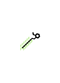 C=Cc1ccccc1CCC(F)(F)C(F)(F)C(F)(F)C(F)(F)C(F)(F)C(F)(F)F